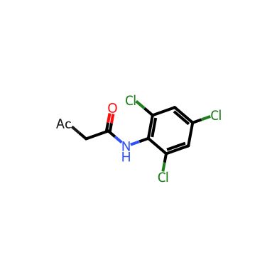 CC(=O)CC(=O)Nc1c(Cl)cc(Cl)cc1Cl